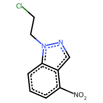 O=[N+]([O-])c1cccc2c1cnn2CCCl